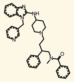 CN(CC(CCN1CCC(Nc2nc3ccccc3n2Cc2cccnc2)CC1)c1ccccc1)C(=O)c1ccccc1